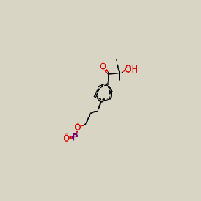 CC(C)(O)C(=O)c1ccc(CCCOP=O)cc1